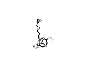 CC1CN2CC(C)O[Si](CCCOC[C@H]3CO3)(O1)OC(C)C2